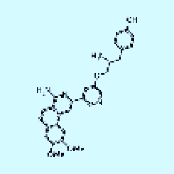 COc1cc2ncc3c(N)nc(-c4cncc(OC[C@@H](N)Cc5ccc(O)cc5)c4)cc3c2cc1OC